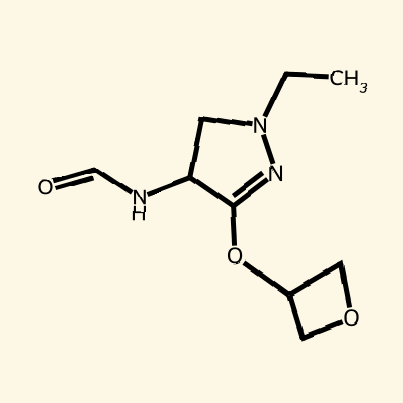 CCN1CC(NC=O)C(OC2COC2)=N1